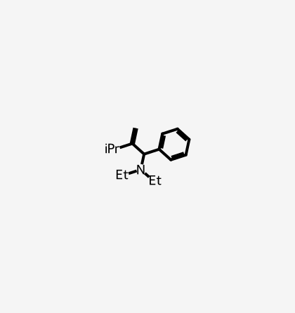 C=C(C(C)C)C(c1ccccc1)N(CC)CC